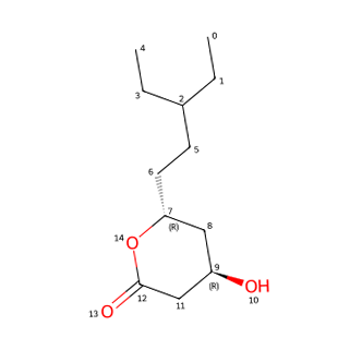 CCC(CC)CC[C@@H]1C[C@@H](O)CC(=O)O1